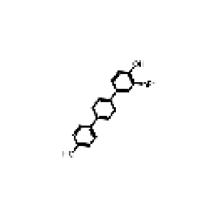 CCCc1cc(C2=CCC(c3ccc(O)cc3)=CC2)ccc1O